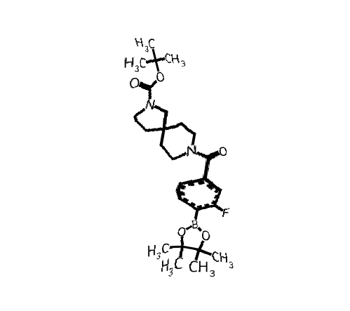 CC(C)(C)OC(=O)N1CCC2(CCN(C(=O)c3ccc(B4OC(C)(C)C(C)(C)O4)c(F)c3)CC2)C1